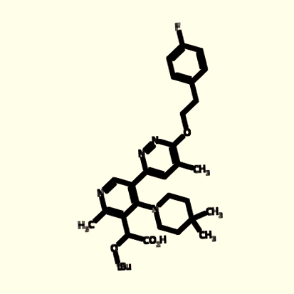 Cc1cc(-c2cnc(C)c(C(OC(C)(C)C)C(=O)O)c2N2CCC(C)(C)CC2)nnc1OCCc1ccc(F)cc1